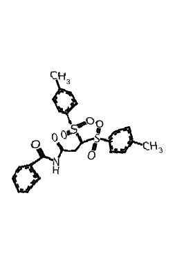 Cc1ccc(S(=O)(=O)C(CC(=O)NC(=O)c2ccccc2)S(=O)(=O)c2ccc(C)cc2)cc1